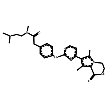 Cc1c(-c2ccnc(Nc3ccc(CC(=O)N(C)CCN(C)C)cc3)n2)c(C)n2c1C(=O)NCC2